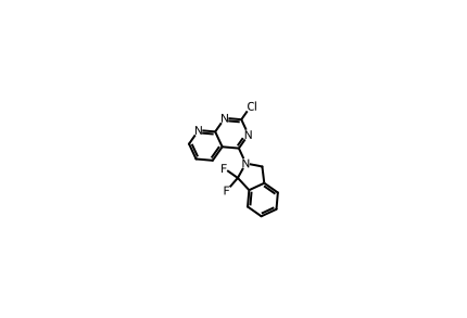 FC1(F)c2ccccc2CN1c1nc(Cl)nc2ncccc12